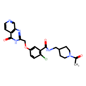 CC(=O)N1CCC(CNC(=O)c2cc(OCc3nc4cnccc4c(=O)[nH]3)ccc2Cl)CC1